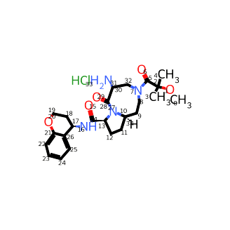 COC(C)(C)C(=O)N1CC[C@H]2CC[C@@H](C(=O)N[C@@H]3CCOc4ccccc43)N2C(=O)[C@@H](N)C1.Cl